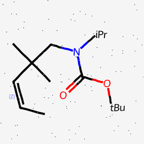 C/C=C\C(C)(C)CN(C(=O)OC(C)(C)C)C(C)C